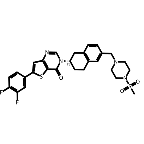 CS(=O)(=O)N1CCN(Cc2ccc3c(c2)CC[C@H](n2cnc4cc(-c5ccc(F)c(F)c5)sc4c2=O)C3)CC1